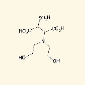 O=C(O)C(C(C(=O)O)S(=O)(=O)O)N(CCO)CCO